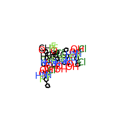 COc1cccc(-c2cc(F)c(Nc3ncccc3C(=O)O)c(F)c2C)c1.Cc1c(-c2cccc(OC(F)(F)F)c2)cc(F)c(Nc2ncccc2C(=O)O)c1F.Cc1c(-c2ccccc2Cl)cc(F)c(Nc2ncccc2C(=O)O)c1F.O=C(O)c1cc(Cl)cnc1Nc1c(F)cc(-c2ccccc2)cc1F.O=C(O)c1cc(Cl)cnc1Nc1c(F)cc(-c2ccccc2Cl)cc1F